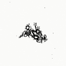 C=CCOC(=O)C1=C(C(=O)N(Cc2cnccc2C)c2cc(SCC(=O)OC)c(Cl)cc2F)CCCC1